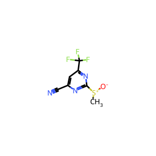 C[S+]([O-])c1nc(C#N)cc(C(F)(F)F)n1